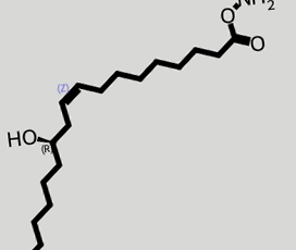 CCCCCC[C@@H](O)C/C=C\CCCCCCCC(=O)ON